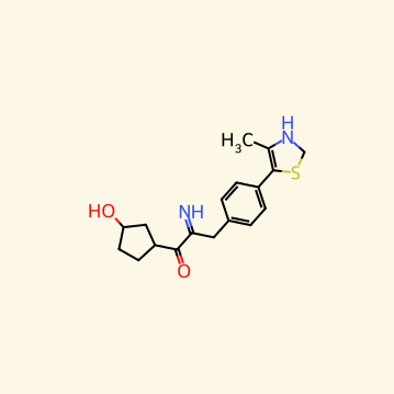 CC1=C(c2ccc(CC(=N)C(=O)C3CCC(O)C3)cc2)SCN1